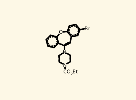 CCOC(=O)N1CCN(C2=Cc3cc(Br)ccc3Oc3ccccc32)CC1